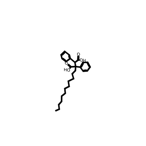 CCCCCCCCCCCCC(C(=O)O)(c1ccccc1)C(C(=O)O)c1ccccc1